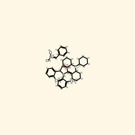 Cc1ccccc1C1CNC(=C2CCCCC2P(C2CCCCC2)C2CCCCC2)N1c1ccccc1C.[Cl][Ru]([Cl])=[CH]c1ccccc1